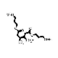 COCCCOC(=O)CC(C(=O)O)=C(CC(=O)OCCCOC)C(=O)O